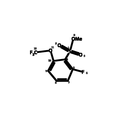 [CH2]OS(=O)(=O)c1c(F)cccc1OC(F)(F)F